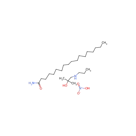 CCCCCCCCCCCCCCCCCC(N)=O.CCCNCC(C)(C)O.O=[N+]([O-])O